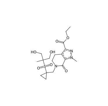 CCOC(=O)c1nn(C)c2c1CCN(CC1(S(=O)(=O)C(C)(CO)CO)CC1)C2=O